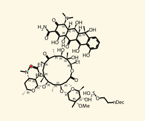 CCC(=O)O[C@H]1[C@H](O[C@@H]2[C@@H](C)[C@H](O[C@H]3C[C@@](C)(OC)[C@@H](O)[C@H](C)O3)[C@@H](C)C(=O)O[C@H](CC)[C@@](C)(O)[C@H](O)[C@@H](C)C(=O)[C@H](C)C[C@@]2(C)O)O[C@H](C)C[C@@H]1N(C)C.CCCCCCCCCCCCOS(=O)(=O)O.CN(C)[C@@H]1C(=O)C(C(N)=O)=C(O)[C@@]2(O)C(=O)C3=C(O)c4c(O)cccc4[C@@](C)(O)[C@H]3[C@H](O)[C@@H]12